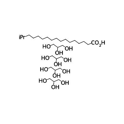 CC(C)CCCCCCCCCCCCCCC(=O)O.OCC(O)CO.OCC(O)CO.OCC(O)CO.OCC(O)CO